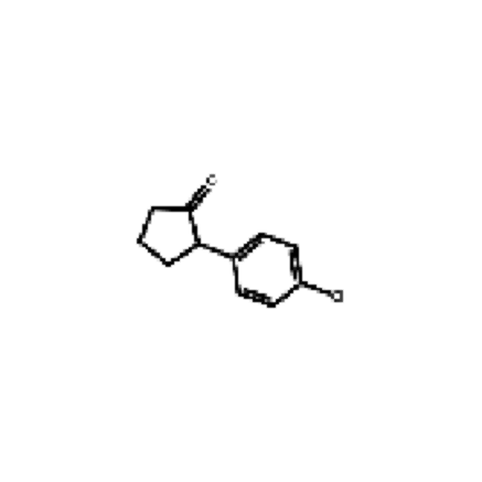 O=C1CC[CH]C1c1ccc(Cl)cc1